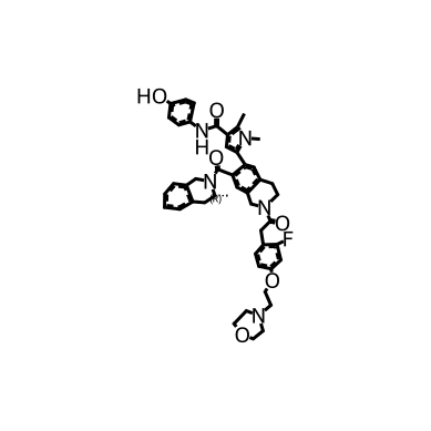 Cc1c(C(=O)Nc2ccc(O)cc2)cc(-c2cc3c(cc2C(=O)N2Cc4ccccc4C[C@H]2C)CN(C(=O)Cc2ccc(OCCN4CCOCC4)cc2F)CC3)n1C